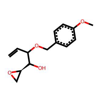 C=CC(OCc1ccc(OC)cc1)C(O)[C@H]1CO1